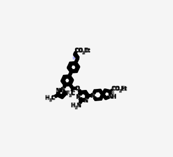 CCOC(=O)/C=C/c1ccc(-c2ccc(-n3ccc(C)n3)c([C@@H](Oc3cc(N4CCC5(CC4)CN[C@H](C(=O)OCC)C5)nc(N)n3)C(F)(F)F)c2)cc1